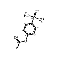 CC(=O)Oc1ccc(P(=O)(O)O)cc1